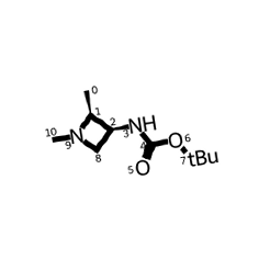 C[C@H]1[C@@H](NC(=O)OC(C)(C)C)CN1C